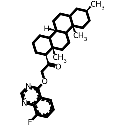 C[C@H]1CC[C@@]2(C)C(CC[C@@H]3C2CC[C@@]2(C)C3CCC[C@@H]2C(=O)COc2ncnc3c(F)cccc23)C1